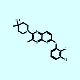 Cc1nc2nc(Sc3cccc(Cl)c3Cl)ccc2nc1N1CCC(C)(N)CC1